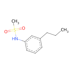 CCCc1cccc(NS(C)(=O)=O)c1